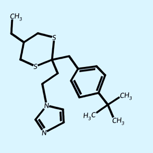 CCC1CSC(CCn2ccnc2)(Cc2ccc(C(C)(C)C)cc2)SC1